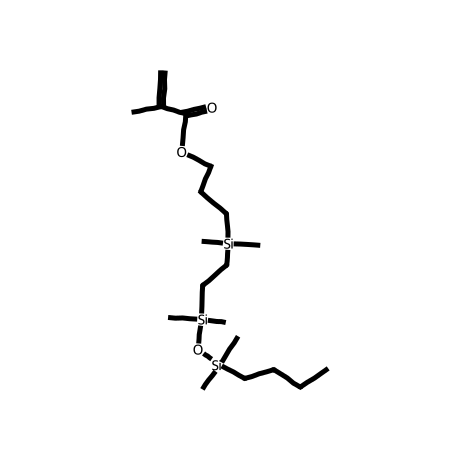 C=C(C)C(=O)OCCC[Si](C)(C)CC[Si](C)(C)O[Si](C)(C)CCCC